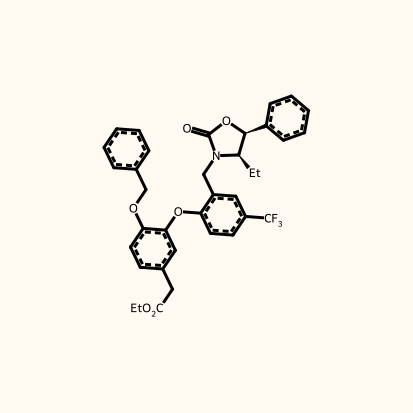 CCOC(=O)Cc1ccc(OCc2ccccc2)c(Oc2ccc(C(F)(F)F)cc2CN2C(=O)O[C@@H](c3ccccc3)[C@H]2CC)c1